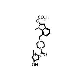 CN1C[C@H](O)C[C@H]1C(=O)N1CCN(Cc2cccc3cc(OC(=O)O)n(C)c23)CC1